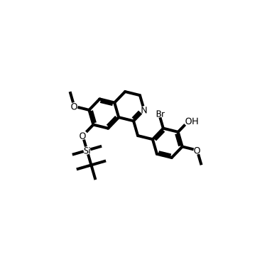 COc1cc2c(cc1O[Si](C)(C)C(C)(C)C)C(Cc1ccc(OC)c(O)c1Br)=NCC2